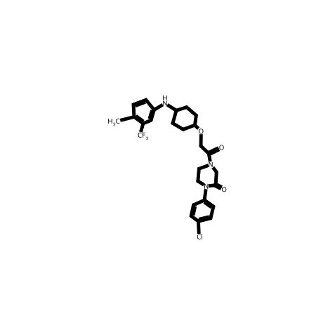 Cc1ccc(NC2CCC(OCC(=O)N3CCN(c4ccc(Cl)cc4)C(=O)C3)CC2)cc1C(F)(F)F